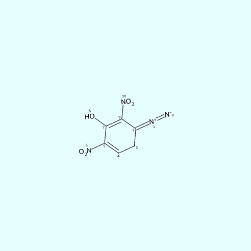 [N-]=[N+]=C1CC=C([N+](=O)[O-])C(O)=C1[N+](=O)[O-]